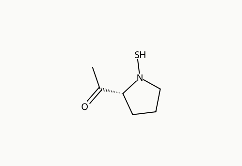 CC(=O)[C@H]1CCCN1S